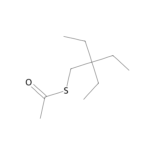 CCC(CC)(CC)CSC(C)=O